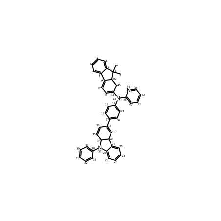 CC1(C)c2ccccc2C2=CC=C(N(c3ccc(C4=CC5c6ccccc6N(c6ccccc6)C5C=C4)cc3)c3ccccn3)CC21